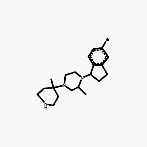 CC1CN(C2(C)CCNCC2)CCN1C1CCc2cc(Br)ccc21